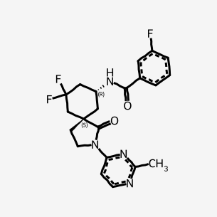 Cc1nccc(N2CC[C@@]3(C[C@@H](NC(=O)c4cccc(F)c4)CC(F)(F)C3)C2=O)n1